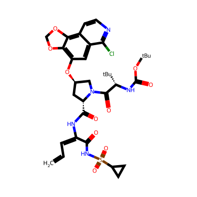 C=C/C=C(/NC(=O)[C@@H]1C[C@@H](Oc2cc3c(Cl)nccc3c3c2OCO3)CN1C(=O)[C@@H](NC(=O)OC(C)(C)C)C(C)(C)C)C(=O)NS(=O)(=O)C1CC1